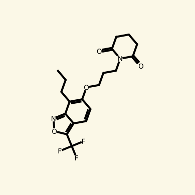 CCCc1c(OCCCN2C(=O)CCCC2=O)ccc2c(C(F)(F)F)onc12